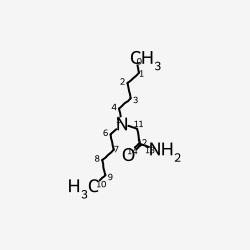 CCCCCN(CCCCC)CC(N)=O